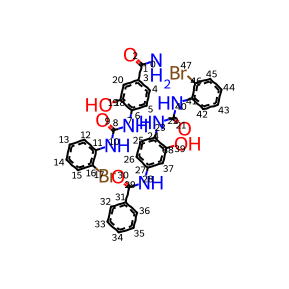 NC(=O)c1ccc(NC(=O)Nc2ccccc2Br)c(O)c1.O=C(Nc1ccc(NC(=O)c2ccccc2)cc1O)Nc1ccccc1Br